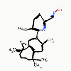 COc1ccc(/C=N/O)nc1-c1cc2c(cc1C)C(C)(C)CCC2(C)C